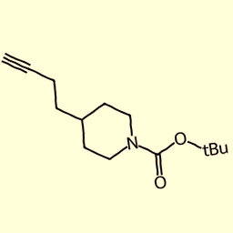 C#CCCC1CCN(C(=O)OC(C)(C)C)CC1